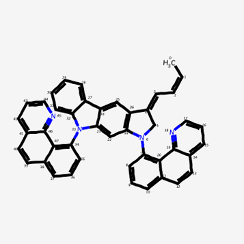 C/C=C\C=C1/CN(c2cccc3ccc4cccnc4c23)c2cc3c(cc21)c1ccccc1n3-c1cccc2ccc3cccnc3c12